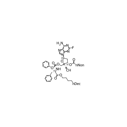 C#C[C@]1(CO[P@@](=O)(N[C@@H](Cc2ccccc2)C(=O)OCCCCCCCCCCCCCC)Oc2ccccc2)O[C@@H](n2cnc3c(N)nc(F)nc32)C[C@@H]1OC(=O)CCCCCCCCC